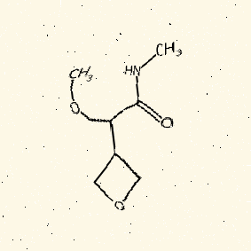 CNC(=O)C(OC)C1COC1